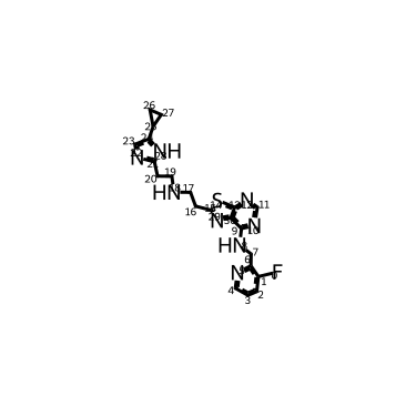 Fc1cccnc1CNc1ncnc2sc(CCNCCc3ncc(C4CC4)[nH]3)nc12